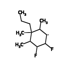 CCCC1(C)C(C)[CH]C(F)C(F)C1C